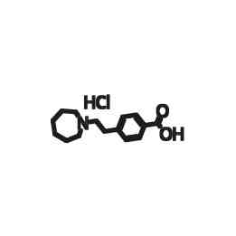 Cl.O=C(O)c1ccc(CCN2CCCCCC2)cc1